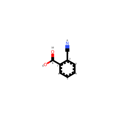 N#Cc1ccccc1C([O])=O